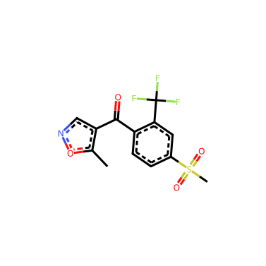 Cc1oncc1C(=O)c1ccc(S(C)(=O)=O)cc1C(F)(F)F